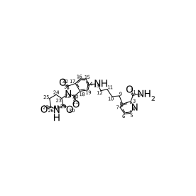 NC(=O)c1ncccc1CCCCNc1ccc2c(c1)C(=O)N(C1CCC(=O)NC1=O)C2=O